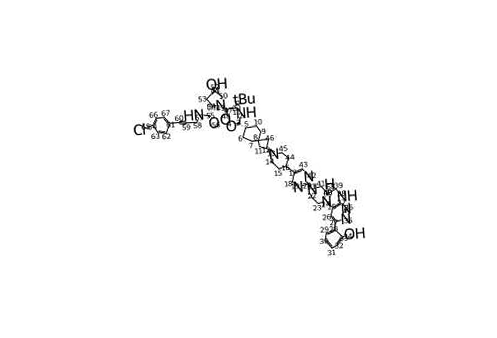 CC(C)(C)[C@H](NC(=O)[C@H]1CCC2(CC1)C[C@H](N1CCC(c3cnc(N4CCN5c6cc(-c7ccccc7O)nnc6NC[C@H]5C4)nc3)CC1)C2)C(=O)N1C[C@H](O)C[C@H]1C(=O)NCC#Cc1ccc(Cl)cc1